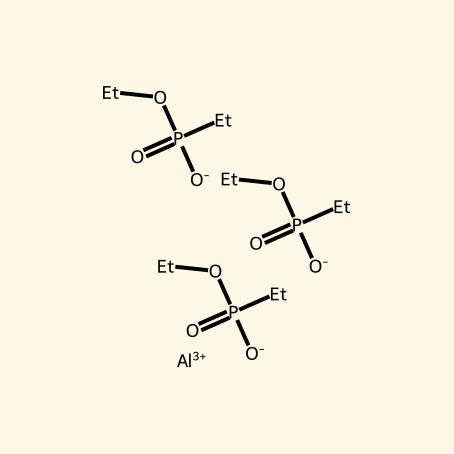 CCOP(=O)([O-])CC.CCOP(=O)([O-])CC.CCOP(=O)([O-])CC.[Al+3]